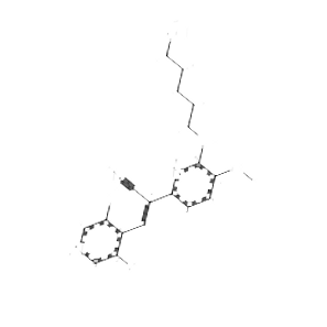 COc1ccc(/C(C#N)=C/c2c(Cl)cncc2Cl)nc1OCCCCCO